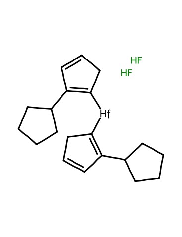 C1=CC(C2CCCC2)=[C]([Hf][C]2=C(C3CCCC3)C=CC2)C1.F.F